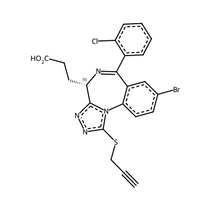 C#CCSc1nnc2n1-c1ccc(Br)cc1C(c1ccccc1Cl)=N[C@H]2CCC(=O)O